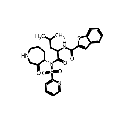 CC(C)CC(NC(=O)c1cc2ccccc2s1)C(=O)N([C@H]1CCCNCC1=O)S(=O)(=O)c1ccccn1